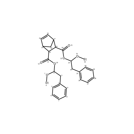 CCOC(Cc1ccccc1)OC(=O)C1C2C=CC(C2)C1C(=O)OC(Cc1ccccc1)OCC